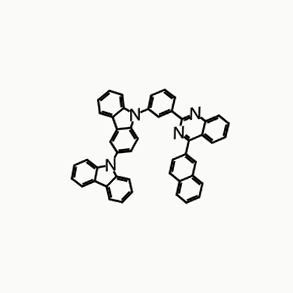 c1cc(-c2nc(-c3ccc4ccccc4c3)c3ccccc3n2)cc(-n2c3ccccc3c3cc(-n4c5ccccc5c5ccccc54)ccc32)c1